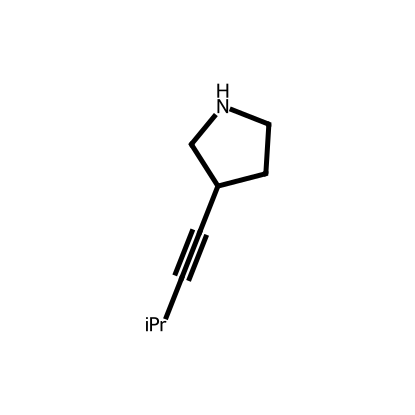 CC(C)C#CC1CCNC1